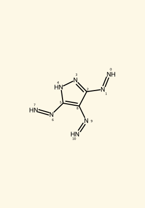 N=Nc1n[nH]c(N=N)c1N=N